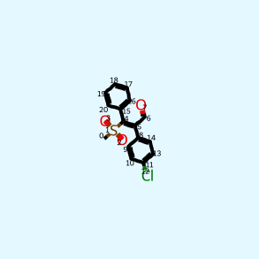 CS(=O)(=O)C(=C(C=O)c1ccc(Cl)cc1)c1ccccc1